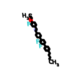 CCCCCc1ccc(-c2ccc(C3CCC(/C=C/c4ccc(OCC)c(F)c4)CC3)c(F)c2F)cc1